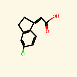 O=C(O)/C=C1/CCc2cc(Cl)ccc21